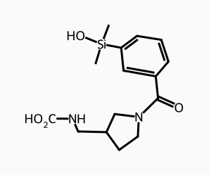 C[Si](C)(O)c1cccc(C(=O)N2CCC(CNC(=O)O)C2)c1